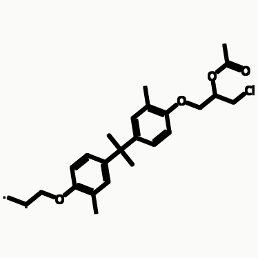 [CH2][CH]COc1ccc(C(C)(C)c2ccc(OCC(CCl)OC(C)=O)c(C)c2)cc1C